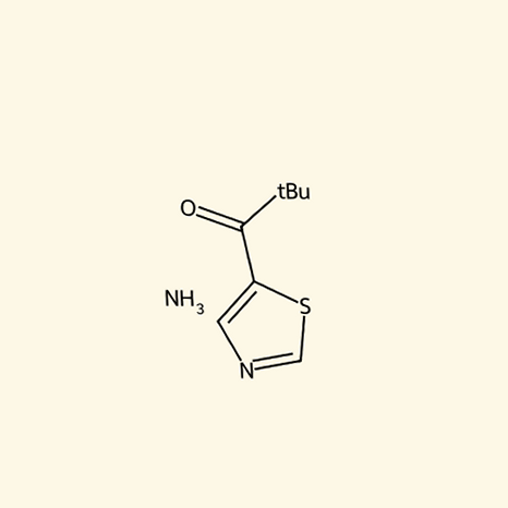 CC(C)(C)C(=O)c1cncs1.N